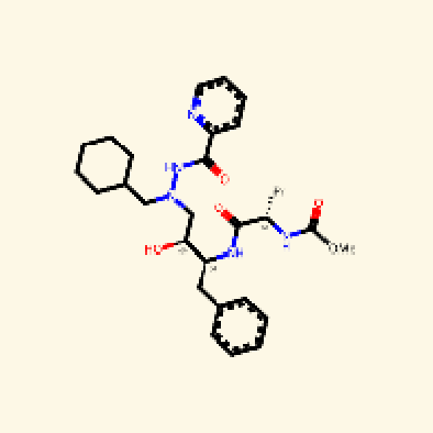 COC(=O)N[C@H](C(=O)N[C@@H](Cc1ccccc1)[C@@H](O)CN(CC1CCCCC1)NC(=O)c1ccccn1)C(C)C